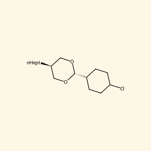 CCCCCCC[C@H]1CO[C@H](C2CCC(Cl)CC2)OC1